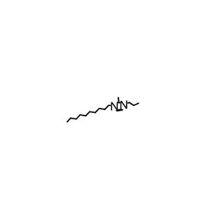 CCCCCCCCCCN1C=CN(CCC)C1C